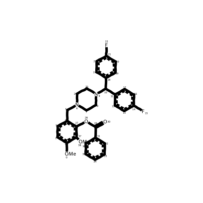 COc1ccc(CN2CCN(C(c3ccc(F)cc3)c3ccc(F)cc3)CC2)c(OC(=O)c2ccccc2)c1OC